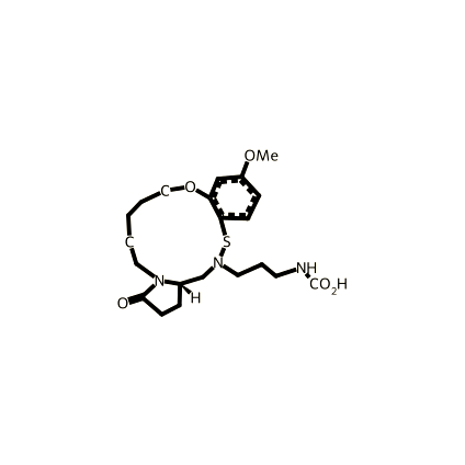 COc1ccc2c(c1)OCCCCCN1C(=O)CC[C@H]1CN(CCCNC(=O)O)S2